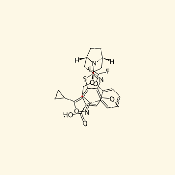 COc1cc(C(=O)O)cc2sc(N3[C@@H]4CC[C@H]3C[C@H](OCc3c(-c5ccccc5OC(F)F)noc3C3CC3)C4)nc12